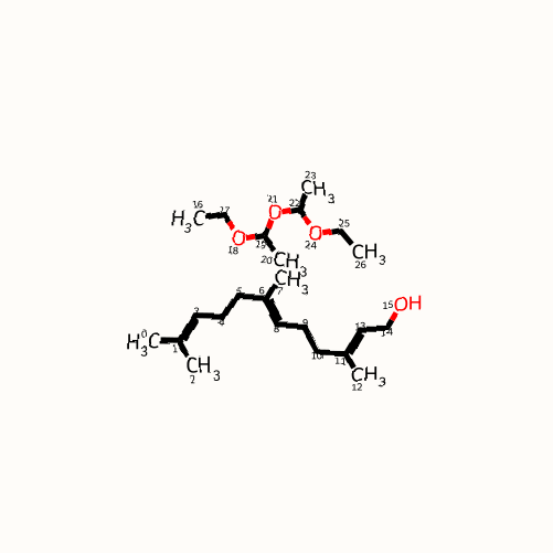 CC(C)=CCCC(C)=CCCC(C)=CCO.CCOC(C)OC(C)OCC